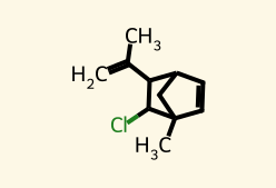 C=C(C)C1C2C=CC(C)(C2)C1Cl